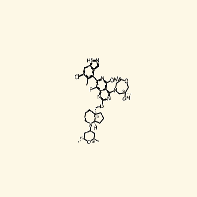 COc1nc(-c2c(C)c(Cl)cc3[nH]ncc23)c(F)c2nc(OC[C@]34CCC[C@H]3N(C3C[C@@H](C)O[C@H](C)C3)CCC4)nc(N3CCOC[C@@](C)(O)C3)c12